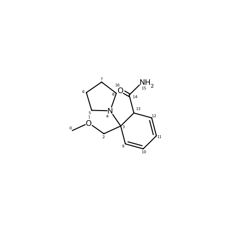 COCC1(N2CCCC2)C=CC=CC1C(N)=O